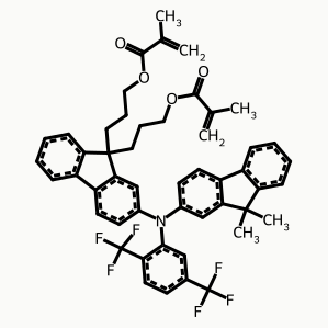 C=C(C)C(=O)OCCCC1(CCCOC(=O)C(=C)C)c2ccccc2-c2ccc(N(c3ccc4c(c3)C(C)(C)c3ccccc3-4)c3cc(C(F)(F)F)ccc3C(F)(F)F)cc21